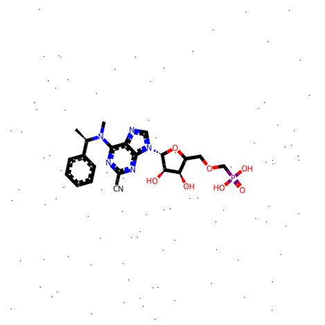 C[C@H](c1ccccc1)N(C)c1nc(C#N)nc2c1ncn2[C@@H]1OC(COCP(=O)(O)O)[C@@H](O)[C@H]1O